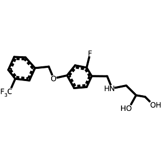 OCC(O)CNCc1ccc(OCc2cccc(C(F)(F)F)c2)cc1F